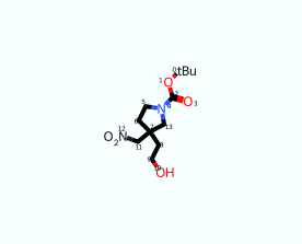 CC(C)(C)OC(=O)N1CCC(CCO)(C[N+](=O)[O-])C1